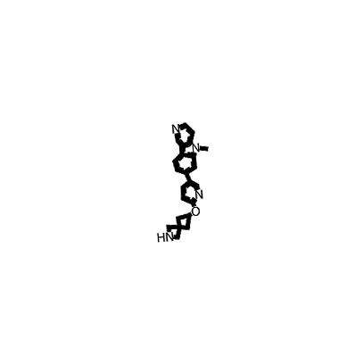 Cn1c2ccncc2c2ccc(-c3ccc(OC4CC5(CNC5)C4)nc3)cc21